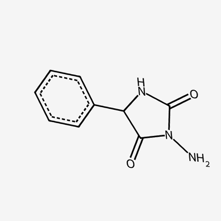 NN1C(=O)NC(c2ccccc2)C1=O